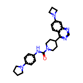 O=C(Nc1ccc(N2CCCC2)cc1)N1CCC(c2ncnc3cc(N4CCC4)ccc23)CC1